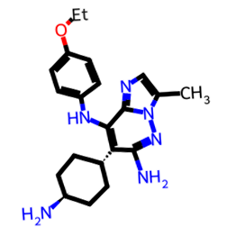 CCOc1ccc(Nc2c3ncc(C)n3nc(N)c2[C@H]2CC[C@H](N)CC2)cc1